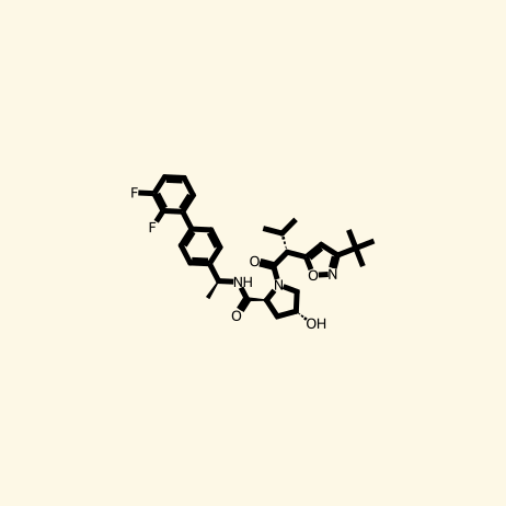 CC(C)[C@@H](C(=O)N1C[C@H](O)C[C@H]1C(=O)N[C@@H](C)c1ccc(-c2cccc(F)c2F)cc1)c1cc(C(C)(C)C)no1